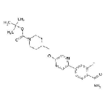 CC(C)(C)OC(=O)N1CCC(COc2ccc(-c3ccc(C(N)=O)c(F)c3)nc2)CC1